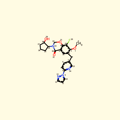 COc1c(Cc2ccc(-n3cccn3)nc2)cc2c(c1F)OCN(C1CCCC1O)C2=O